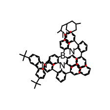 CC1CC2CC(C)N(c3ccc4c(c3)N(c3c(-c5ccccc5)cccc3-c3ccccc3)c3cc(-c5ccccc5)cc5c3B4c3ccc(-n4c6ccc(C(C)(C)C)cc6c6cc(C(C)(C)C)ccc64)cc3N5c3c(-c4ccccc4)cccc3-c3ccccc3)C(C1)C2